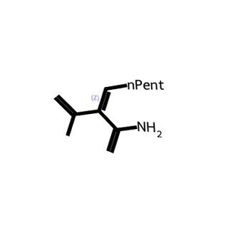 C=C(C)/C(=C/CCCCC)C(=C)N